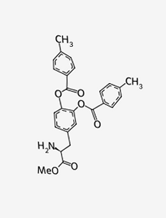 COC(=O)[C@@H](N)Cc1ccc(OC(=O)c2ccc(C)cc2)c(OC(=O)c2ccc(C)cc2)c1